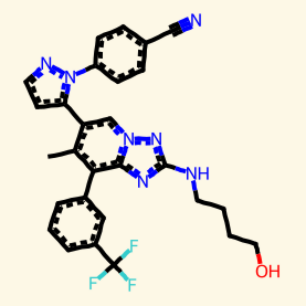 Cc1c(-c2ccnn2-c2ccc(C#N)cc2)cn2nc(NCCCCO)nc2c1-c1cccc(C(F)(F)F)c1